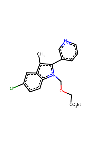 CCOC(=O)COCn1c(-c2cccnc2)c(C)c2cc(Cl)ccc21